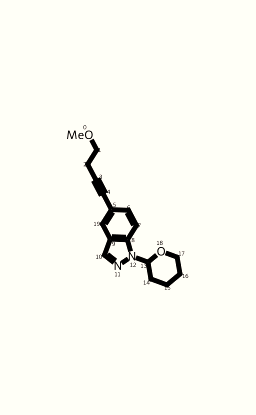 COCCC#Cc1ccc2c(cnn2C2CCCCO2)c1